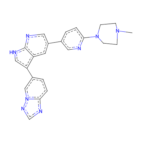 CN1CCN(c2ccc(-c3cnc4[nH]cc(-c5ccc6ncnn6c5)c4c3)cn2)CC1